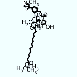 Cc1ncsc1-c1ccc(CNC(=O)[C@@H]2C[C@@H](O)CN2C(=O)[C@@H](NC(=O)CCCCCCCCCCCCC(=O)OC(C)(C)C)C(C)(C)C)cc1